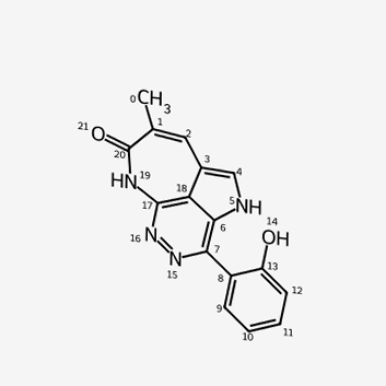 CC1=Cc2c[nH]c3c(-c4ccccc4O)nnc(c23)NC1=O